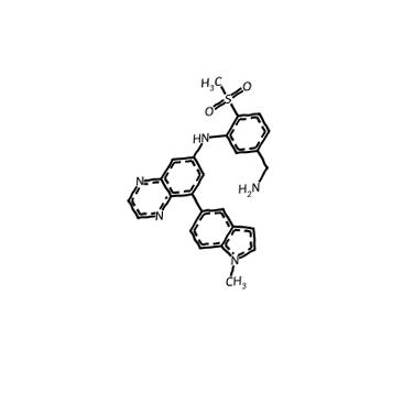 Cn1ccc2cc(-c3cc(Nc4cc(CN)ccc4S(C)(=O)=O)cc4nccnc34)ccc21